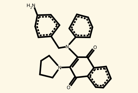 Nc1ccc(CN(C2=C(N3CCCC3)C(=O)c3ccccc3C2=O)c2ccccc2)cc1